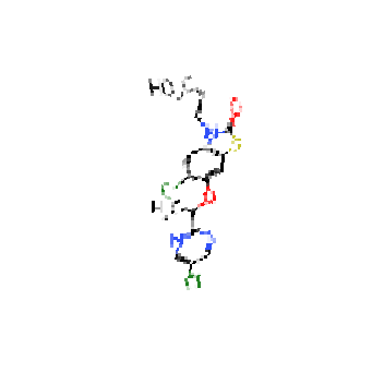 CC(Oc1cc2sc(=O)n(CCC(=O)O)c2cc1Cl)c1ncc(Cl)cn1